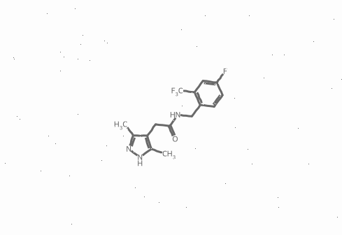 Cc1n[nH]c(C)c1CC(=O)NCc1ccc(F)cc1C(F)(F)F